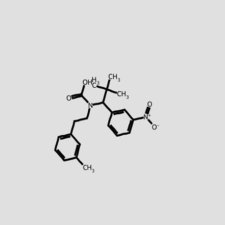 Cc1cccc(CCN(C(=O)O)C(c2cccc([N+](=O)[O-])c2)C(C)(C)C)c1